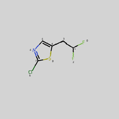 FC(F)[CH]c1cnc(Cl)s1